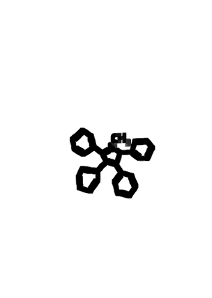 C[Si]1=C(c2ccccc2)C(c2ccccc2)=C(c2ccccc2)C1c1ccccc1